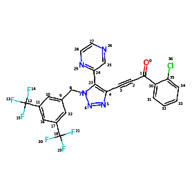 O=C(C#Cc1nnn(Cc2cc(C(F)(F)F)cc(C(F)(F)F)c2)c1-c1cnccn1)c1ccccc1Cl